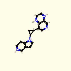 c1cc2c(ccn2C2CC2c2cncc3nccnc23)cn1